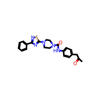 CC(=O)Cc1ccc(NC(=O)N2CCN(c3nc(-c4ccccc4)ns3)CC2)cc1